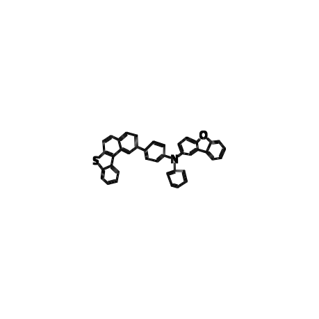 c1ccc(N(c2ccc(-c3ccc4ccc5sc6ccccc6c5c4c3)cc2)c2ccc3oc4ccccc4c3c2)cc1